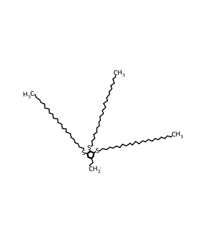 [CH2]CCc1cc(SCCCCCCCCCCCCCCCCCCCCCCCC)c(SCCCCCCCCCCCCCCCCCCCCCCCC)c(SCCCCCCCCCCCCCCCCCCCCCCCC)c1